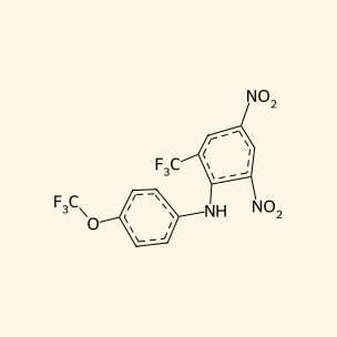 O=[N+]([O-])c1cc([N+](=O)[O-])c(Nc2ccc(OC(F)(F)F)cc2)c(C(F)(F)F)c1